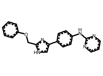 c1ccc(OCc2nc(-c3ccc(Nc4ncccn4)cc3)c[nH]2)cc1